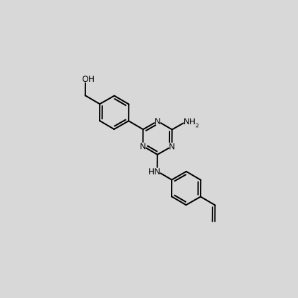 C=Cc1ccc(Nc2nc(N)nc(-c3ccc(CO)cc3)n2)cc1